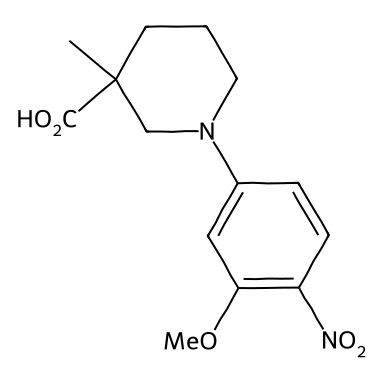 COc1cc(N2CCCC(C)(C(=O)O)C2)ccc1[N+](=O)[O-]